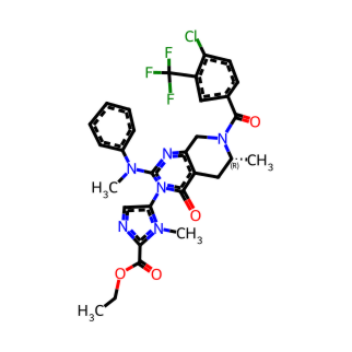 CCOC(=O)c1ncc(-n2c(N(C)c3ccccc3)nc3c(c2=O)C[C@@H](C)N(C(=O)c2ccc(Cl)c(C(F)(F)F)c2)C3)n1C